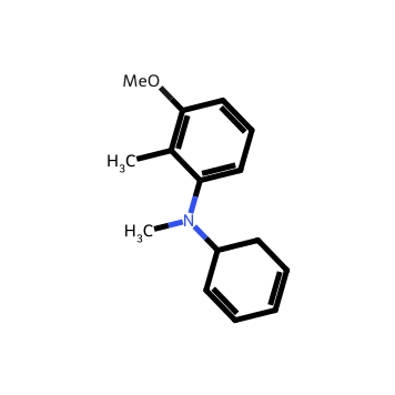 COc1cccc(N(C)C2C=CC=CC2)c1C